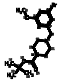 COc1cc(Br)cc(CN2CCN(C(=O)OC(C)(C)C)CC2)c1